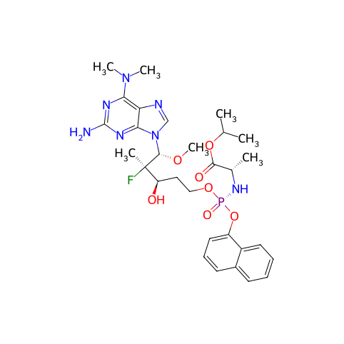 CO[C@@H](n1cnc2c(N(C)C)nc(N)nc21)[C@](C)(F)[C@H](O)CCO[P@@](=O)(N[C@@H](C)C(=O)OC(C)C)Oc1cccc2ccccc12